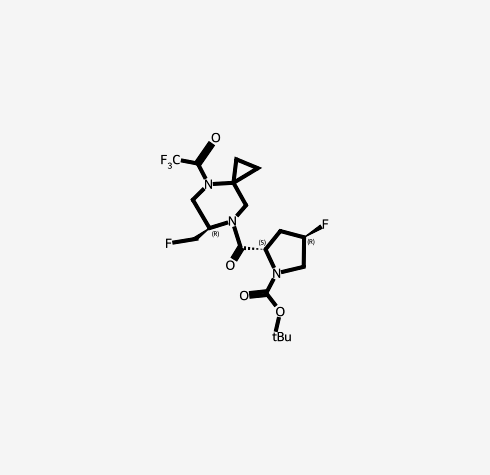 CC(C)(C)OC(=O)N1C[C@H](F)C[C@H]1C(=O)N1CC2(CC2)N(C(=O)C(F)(F)F)C[C@@H]1CF